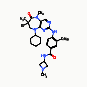 CC[C@]1(C)CN(C2CCCCC2)c2nc(Nc3ccc(C(=O)NC4CN(C)C4)cc3OC)ncc2N(C)C1=O